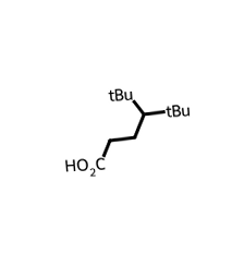 CC(C)(C)C(CCC(=O)O)C(C)(C)C